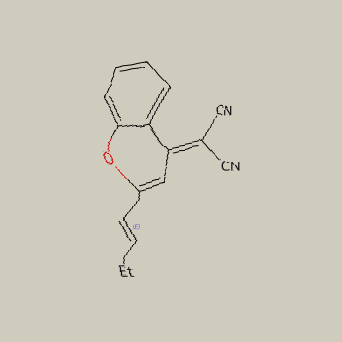 CC/C=C/C1=CC(=C(C#N)C#N)c2ccccc2O1